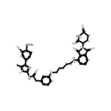 CC(=O)Nc1ccc(-c2nc(NC(=O)Cc3cccc(OCCCCCNc4cccc5c4C(=O)N(C4CCC(=O)NC4=O)C5=O)c3)sc2C)cc1F